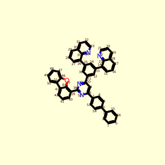 c1ccc(-c2ccc(-c3cc(-c4cc(-c5cccc6cccnc56)cc(-c5cccc6cccnc56)c4)nc(-c4cccc5c4oc4ccccc45)n3)cc2)cc1